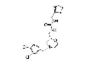 O=C(NCc1nccs1)NCC1CN(Cc2ccc(Cl)c(Cl)c2)CCO1